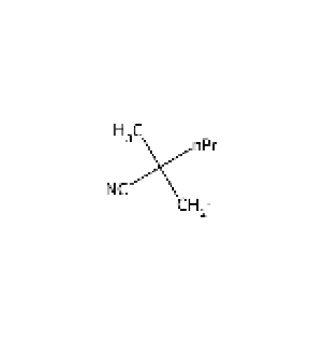 [CH2]C(C)(C#N)CCC